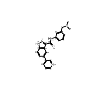 CN(C)Cc1cccc(NC(=O)c2n[nH]c3ccc(-c4cccnc4)cc23)c1